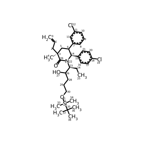 C=CC[C@@]1(C)CC(c2cccc(Cl)c2)[C@@H](c2ccc(Cl)cc2)N([C@@H](CC)C(O)CCCO[Si](C)(C)C(C)(C)C)C1=O